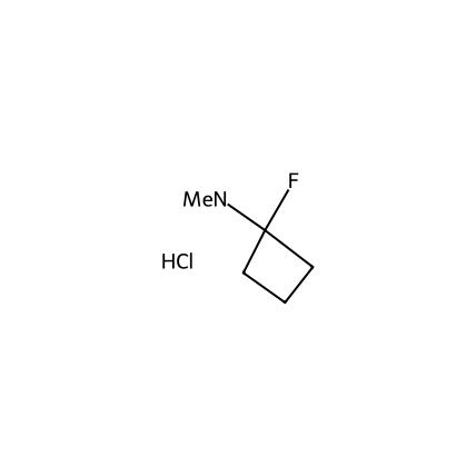 CNC1(F)CCC1.Cl